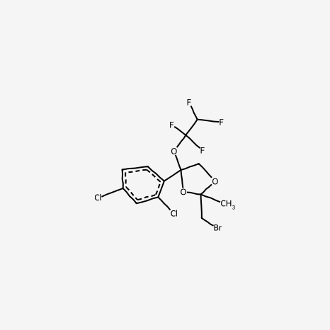 CC1(CBr)OCC(OC(F)(F)C(F)F)(c2ccc(Cl)cc2Cl)O1